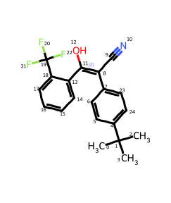 CC(C)(C)c1ccc(/C(C#N)=C(/O)c2ccccc2C(F)(F)F)cc1